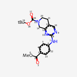 COC(=O)c1ccc(Nc2ncc3c(n2)CN(C(=O)OC(C)(C)C)CC3)cc1